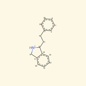 c1ccc(CCC2NCc3ccccc32)cc1